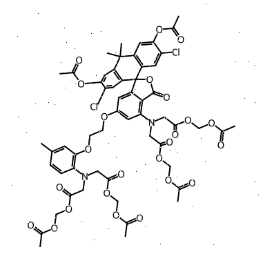 CC(=O)OCOC(=O)CN(CC(=O)OCOC(C)=O)c1ccc(C)cc1OCCOc1cc(N(CC(=O)OCOC(C)=O)CC(=O)OCOC(C)=O)c2c(c1)C1(OC2=O)c2cc(Cl)c(OC(C)=O)cc2C(C)(C)c2cc(OC(C)=O)c(Cl)cc21